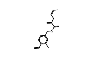 C=Cc1ccc(CSC(=C)C(=C)C/C=C\C)cc1C